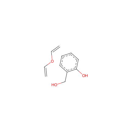 C=COC=C.OCc1ccccc1O